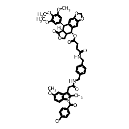 COc1ccc2c(c1)c(CC(=O)NCc1ccc(CNC(=O)CCC(=O)O[C@@H]3c4cc5c(cc4[C@H](c4cc(OC)c(OC)c(OC)c4)[C@@H]4C(=O)OCC34)OCO5)cc1)c(C)n2C(=O)c1ccc(Cl)cc1